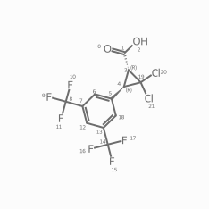 O=C(O)[C@H]1[C@H](c2cc(C(F)(F)F)cc(C(F)(F)F)c2)C1(Cl)Cl